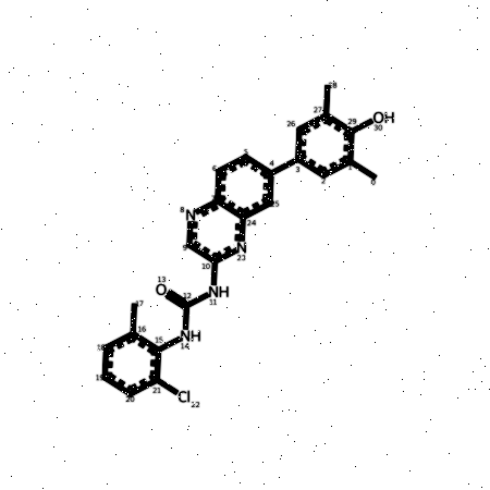 Cc1cc(-c2ccc3ncc(NC(=O)Nc4c(C)cccc4Cl)nc3c2)cc(C)c1O